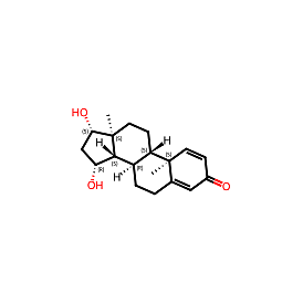 C[C@]12CC[C@H]3[C@@H](CCC4=CC(=O)C=C[C@@]43C)[C@@H]1[C@H](O)C[C@@H]2O